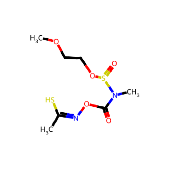 COCCOS(=O)N(C)C(=O)ON=C(C)S